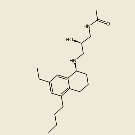 CCCCc1cc(CC)cc2c1CCC[C@@H]2NC[C@@H](O)CNC(C)=O